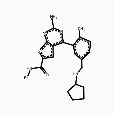 CCNC(=O)c1cc2c(-c3cc(CNC4CCCC4)ccc3C)nc(N)nc2s1